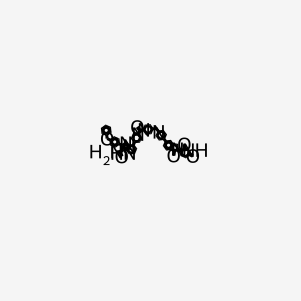 NC(=O)c1c(-c2ccc(Oc3ccccc3)cc2)nn2c1NCCC2C1CCN(C(=O)N2CCC(CN3CCC(c4ccc5c(c4)CN(C4CCC(=O)NC4=O)C5=O)CC3)CC2)CC1